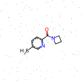 Bc1ccc(C(=O)N2CCC2)nc1